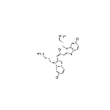 CCC(=CC1=[N+](CCCS(=O)(=O)O)C2C=C(Cl)C=CC2S1)C=C1Sc2ccc(Cl)cc2N1CCCS(=O)(=O)O